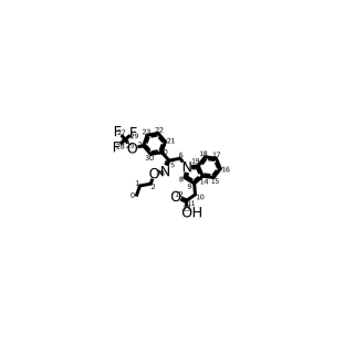 CCCON=C(Cn1cc(CC(=O)O)c2ccccc21)c1cccc(OC(F)(F)F)c1